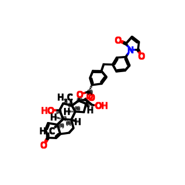 C[C@]12C=CC(=O)C=C1CC[C@@H]1[C@@H]2[C@@H](O)C[C@@]2(C)[C@H]1C[C@H]1O[C@@H](c3ccc(Cc4cccc(N5C(=O)C=CC5=O)c4)cc3)O[C@]12C(=O)CO